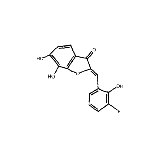 O=C1/C(=C/c2cccc(F)c2O)Oc2c1ccc(O)c2O